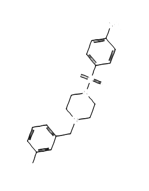 O=[N+]([O-])c1ccc(S(=O)(=O)N2CCN(Cc3cccc(Cl)c3)CC2)cc1